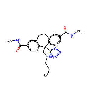 CCCC(N)CC1(c2nnn[nH]2)c2ccc(C(=O)NC)cc2CCc2cc(C(=O)NC)ccc21